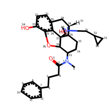 CN(C(=O)CCCc1ccccc1)C1CC[C@@]2(O)[C@H]3Cc4ccc(O)c5c4[C@@]2(CCN3CC2CC2)C1O5